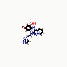 O=C1C=C/C(=N\c2c(NCCn3ccnc3)nn3ccccc23)C(O)=C1